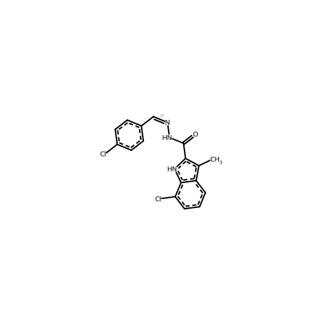 Cc1c(C(=O)N/N=C\c2ccc(Cl)cc2)[nH]c2c(Cl)cccc12